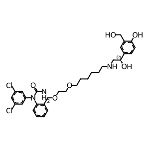 NC(=O)N(c1cc(Cl)cc(Cl)c1)c1ccccc1COCCOCCCCCCNC[C@H](O)c1ccc(O)c(CO)c1